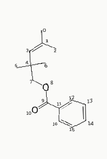 CC(C)=CC(C)(C)COC(=O)c1ccccc1